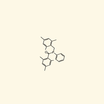 Cc1cc(C)c(CP(C(=O)c2c(C)cc(C)cc2C)c2ccccc2)c(C)c1